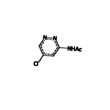 CC(=O)Nc1cc(Cl)cnn1